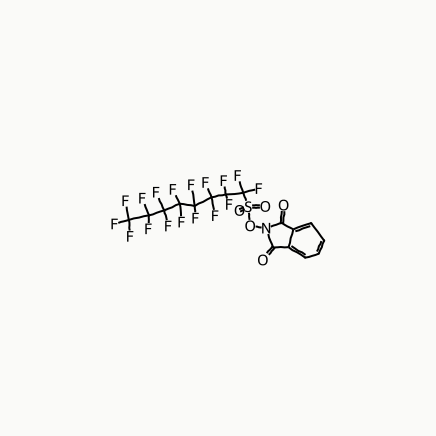 O=C1c2ccccc2C(=O)N1OS(=O)(=O)C(F)(F)C(F)(F)C(F)(F)C(F)(F)C(F)(F)C(F)(F)C(F)(F)C(F)(F)F